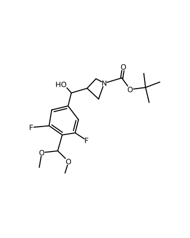 COC(OC)c1c(F)cc(C(O)C2CN(C(=O)OC(C)(C)C)C2)cc1F